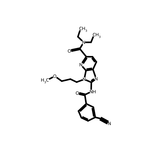 CCN(CC)C(=O)c1ccc2nc(NC(=O)c3cccc(C#N)c3)n(CCCOC)c2n1